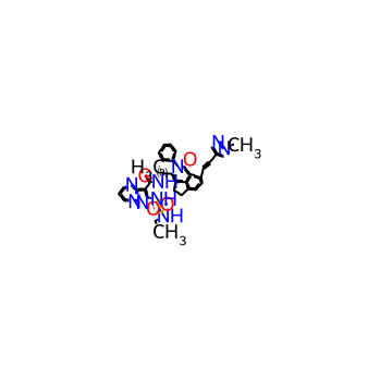 CCNS(=O)(=O)Nc1nn2cccnc2c1C(=O)N[C@H](C)c1c2c3c(ccc(C#Cc4cnn(C)c4)c3c(=O)n1-c1ccccc1)CC2